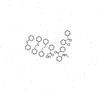 Nc1ccccc1C(=O)c1ccccc1.O=C(CO)c1ccccc1.O=C(c1ccccc1)c1ccccc1Cl.c1ccc(CCc2ccccc2)cc1.c1ccc(CSc2ccccc2)cc1.c1ccc(Sc2ccccc2)cc1